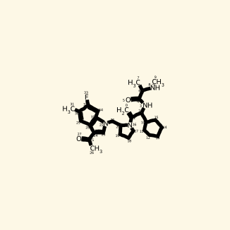 C=C(C(NC(=O)C(C)NC)C1CCCCC1)N1CCCC1Cn1cc(C(C)=O)c2cc(C)c(F)cc21